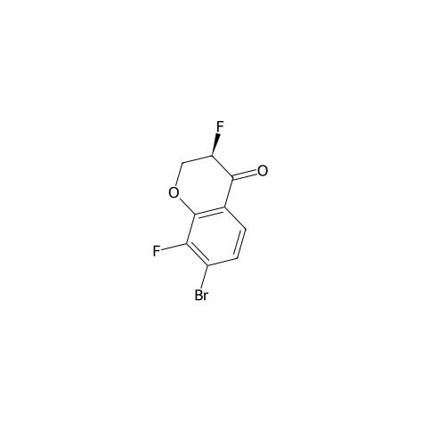 O=C1c2ccc(Br)c(F)c2OC[C@H]1F